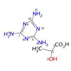 CC(O)C(=O)O.Nc1nc(N)nc(N)n1